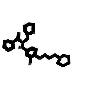 O=C(c1cncnc1)N(Cc1ccccn1)Nc1ccc(OCCCN2CCCCC2)c(F)c1